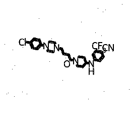 N#Cc1ccc(NC2CCN(C(=O)CCCN3CCN(c4ccc(Cl)cc4)CC3)CC2)cc1C(F)(F)F